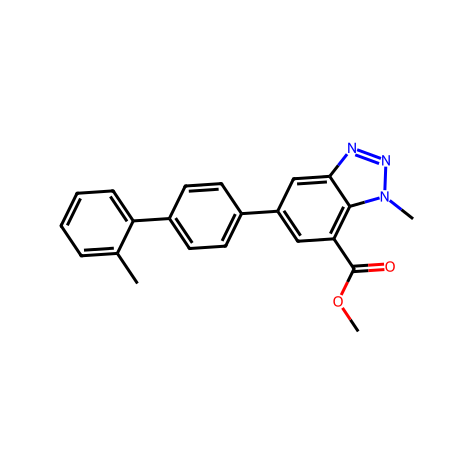 COC(=O)c1cc(-c2ccc(-c3ccccc3C)cc2)cc2nnn(C)c12